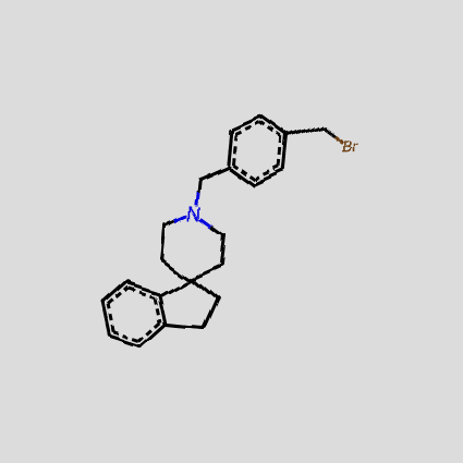 BrCc1ccc(CN2CCC3(CCc4ccccc43)CC2)cc1